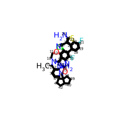 C[C@H](c1cccnc1N)N1CCOc2c(Cl)c(-c3ccc(F)c4sc(N)c(C#N)c34)c(F)c3nc(OCC45CCCC4CCC5)nc1c23